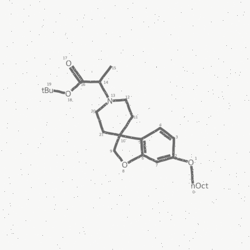 CCCCCCCCOc1ccc2c(c1)OCC21CCN(C(C)C(=O)OC(C)(C)C)CC1